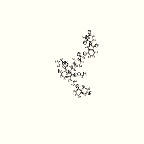 Cc1nn2c(c1-c1c(F)ccc3c(CCCOc4cccc5cc(F)ccc45)c(C(=O)O)n(CCN4CCN(C(=O)COc5cccc6c5CN(C5CCC(=O)NC5=O)C6=O)CC4)c13)CCC2